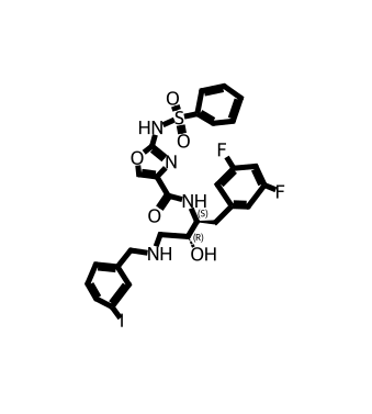 O=C(N[C@@H](Cc1cc(F)cc(F)c1)[C@H](O)CNCc1cccc(I)c1)c1coc(NS(=O)(=O)c2ccccc2)n1